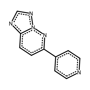 c1cc(-c2ccc3ncnn3n2)ccn1